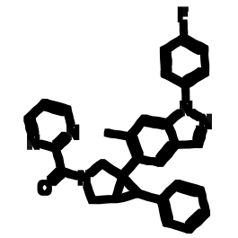 Cc1cc2c(cnn2-c2ccc(F)cc2)cc1C12CN(C(=O)c3ncccn3)CC1C2c1ccccc1